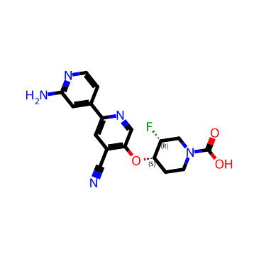 N#Cc1cc(-c2ccnc(N)c2)ncc1O[C@H]1CCN(C(=O)O)C[C@H]1F